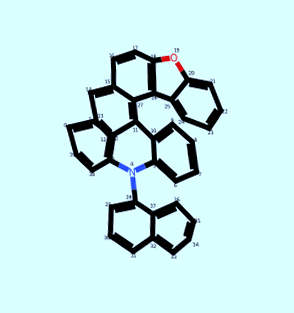 c1ccc(N(c2ccccc2-c2cccc3ccc4oc5ccccc5c4c23)c2cccc3ccccc23)cc1